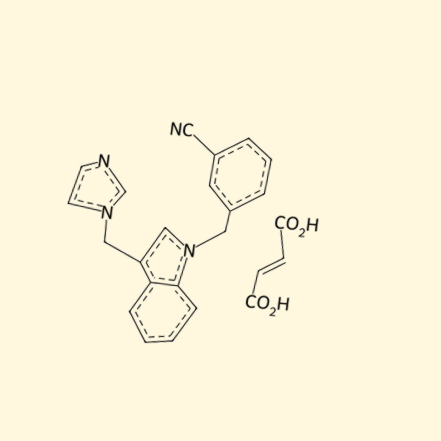 N#Cc1cccc(Cn2cc(Cn3ccnc3)c3ccccc32)c1.O=C(O)C=CC(=O)O